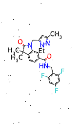 CCn1nc(C)cc1CN1C(=O)C(C)(C)c2ccc(C(=O)NCc3c(F)cc(F)cc3F)cc21